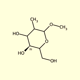 COC1OC(CO)[C@@H](O)C(O)C1C